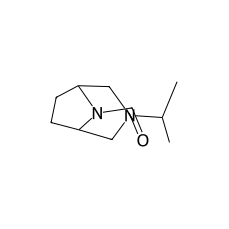 CC(C)N1CC2CCC(C1)N2C=O